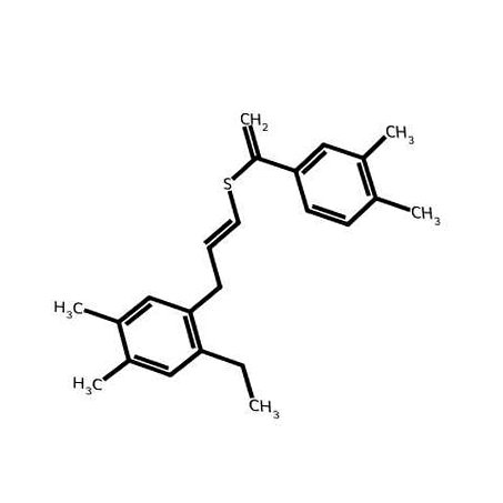 C=C(S/C=C/Cc1cc(C)c(C)cc1CC)c1ccc(C)c(C)c1